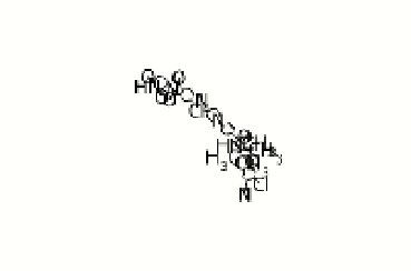 CC1(C)[C@H](NC(=O)c2ccc(N3CCC(Cl)(CN4Cc5cc6c(cc5C4)C(=O)N(C4CCC(=O)NC4=O)C6=O)CC3)cc2)C(C)(C)[C@H]1Oc1ccc(C#N)c(Cl)c1